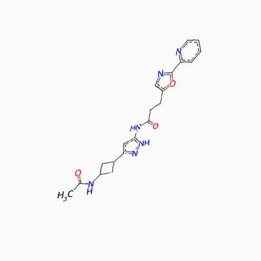 CC(=O)NC1CC(c2cc(NC(=O)CCc3cnc(-c4ccccn4)o3)[nH]n2)C1